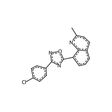 Cc1ccc2cccc(-c3nc(-c4ccc(Cl)cc4)no3)c2n1